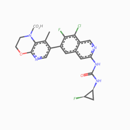 Cc1c(-c2cc3cc(NC(=O)N[C@H]4C[C@H]4F)ncc3c(Cl)c2F)cnc2c1N(C(=O)O)CCO2